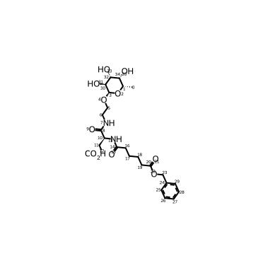 C[C@@H]1O[C@@H](OCCNC(=O)[C@H](CC(=O)O)NC(=O)CCCCC(=O)OCc2ccccc2)[C@@H](O)[C@H](O)[C@@H]1O